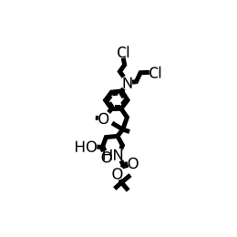 COc1ccc(N(CCCl)CCCl)cc1CC(C)(C)C(CNC(=O)OC(C)(C)C)CC(=O)O